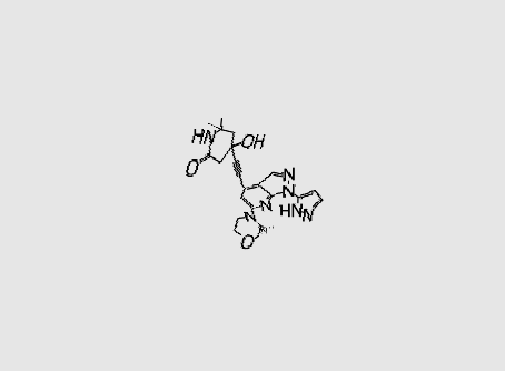 C[C@@H]1COCCN1c1cc(C#CC2(O)CC(=O)NC(C)(C)C2)c2cnn(-c3ccn[nH]3)c2n1